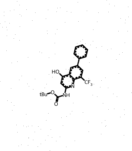 CC(C)(C)OC(=O)Nc1cc(O)c2cc(-c3ccccc3)cc(C(F)(F)F)c2n1